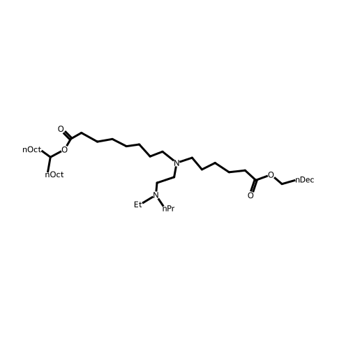 CCCCCCCCCCCOC(=O)CCCCCN(CCCCCCCC(=O)OC(CCCCCCCC)CCCCCCCC)CCN(CC)CCC